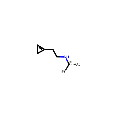 CC(=O)[C@@H](NCCC1=CC1)C(C)C